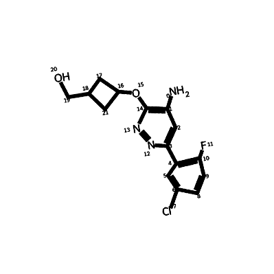 Nc1cc(-c2cc(Cl)ccc2F)nnc1OC1CC(CO)C1